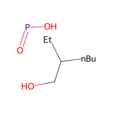 CCCCC(CC)CO.O=PO